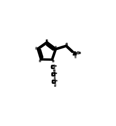 [Cl-].[Cl-].[Cl-].[Zr+3][CH2]C1=CC=CC1